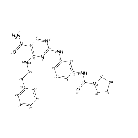 NC(=O)c1cnc(Nc2cccc(NC(=O)N3CCCC3)c2)nc1NCCc1ccccc1